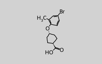 Cc1cc(Br)ccc1O[C@H]1CC[C@H](C(=O)O)CC1